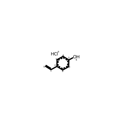 C=Cc1ccc(O)cc1.Cl